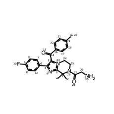 CC1(C)c2nc(-c3ccc(F)cc3)c(C(=O)c3ccc(F)cc3)n2CCN1C(=O)CN